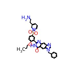 CCCOc1ccc(S(=O)(=O)N2C=CC=C(CCN)C2)cc1-c1nc2cc3ncn(Cc4ccccc4)c3cc2c(=O)[nH]1